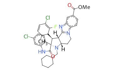 COC(=O)c1ccc2c(c1)nc1n2CC[C@H]2[C@@H]1[C@H](C1C(F)=C(Cl)C=CC1C)[C@]1(C(=O)Nc3cc(Cl)ccc31)N2CC1CCCCC1